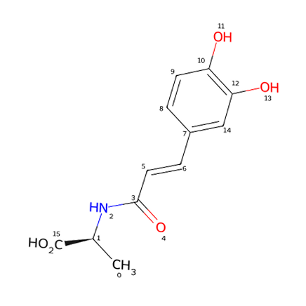 C[C@H](NC(=O)C=Cc1ccc(O)c(O)c1)C(=O)O